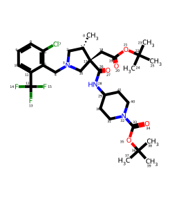 C[C@H]1CN(Cc2c(Cl)cccc2C(F)(F)F)C[C@@]1(CC(=O)OC(C)(C)C)C(=O)NC1CCN(C(=O)OC(C)(C)C)CC1